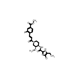 CCc1[nH]c(C(=O)N[C@@H]2CCN(C(=O)/C=C/c3ccc(C(=O)OC)cc3F)C[C@@H]2OC)nc1Cl